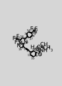 CC(C)(C)NS(=O)(=O)c1cccc(C#Cc2cnn3c(C(F)(F)F)cc(-c4ccc(C(F)(F)F)cc4)nc23)c1